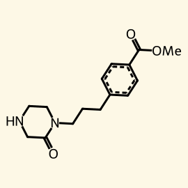 COC(=O)c1ccc(CCCN2CCNCC2=O)cc1